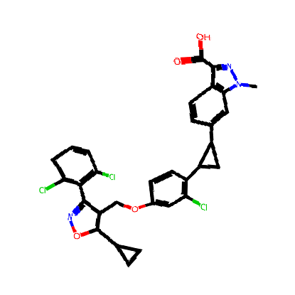 Cn1nc(C(=O)O)c2ccc(C3CC3c3ccc(OCC4C(C5=C(Cl)C=CCC5Cl)=NOC4C4CC4)cc3Cl)cc21